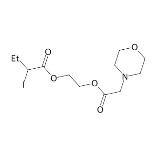 CCC(I)C(=O)OCCOC(=O)CN1CCOCC1